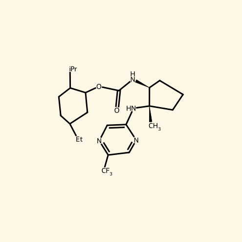 CCC1CCC(C(C)C)C(OC(=O)N[C@H]2CCC[C@]2(C)Nc2cnc(C(F)(F)F)cn2)C1